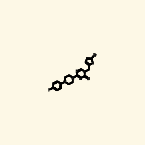 O=c1nc(N2CCN(c3ccc(F)cc3)CC2)ncn1Cc1ccc(Br)s1